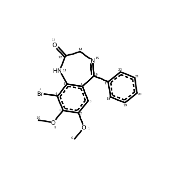 COc1cc2c(c(Br)c1OC)NC(=O)CN=C2c1ccccc1